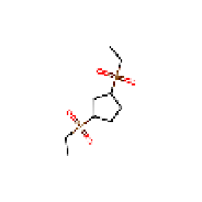 CCS(=O)(=O)C1CCC(S(=O)(=O)CC)C1